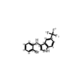 FC(F)(F)c1ccc2[nH]cc(Nc3ccccc3Br)c2c1